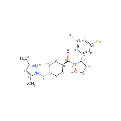 Cc1cc(C)n(C[C@H]2CC[C@H](C(=O)N3OCC[C@H]3c3cc(F)cc(F)c3)CC2)n1